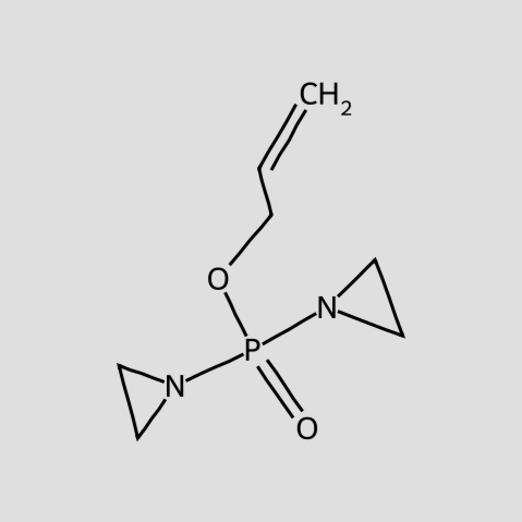 C=CCOP(=O)(N1CC1)N1CC1